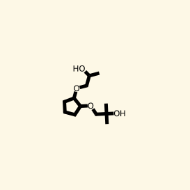 CC(O)COC1CCCC1OCC(C)(C)O